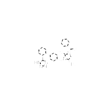 CC(C)(C)c1cn(C(=O)c2ccccc2)c(=O)n1Cc1ccc(-c2ccccc2-c2nnn[nH]2)cc1